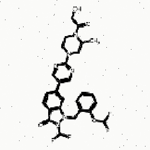 CC1CN(c2ncc(-c3ccc4c(=O)n(C(F)F)n(Cc5ccccc5OC(F)F)c4c3)cn2)CCN1C(=O)CO